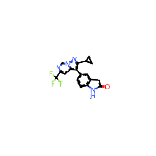 O=C1Cc2cc(-c3c(C4CC4)nn4cnc(C(F)(F)F)cc34)ccc2N1